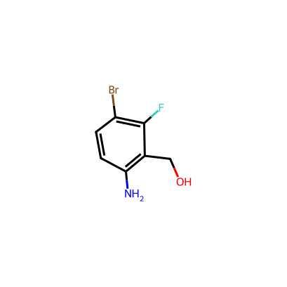 Nc1ccc(Br)c(F)c1CO